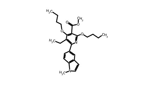 CCCCOc1nc(-c2ccc3c(ccn3C)c2)c(CC)c(OCCCC)c1C(=O)OC